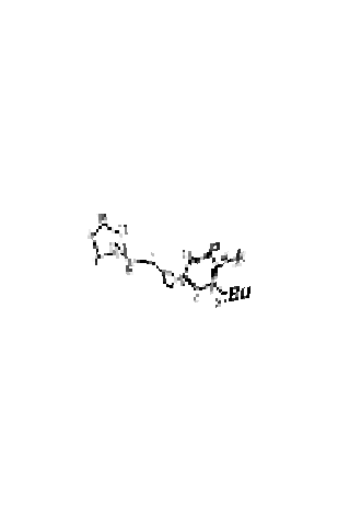 CC(C)(C)c1cc(OCCN2CCCC2)ccc1F